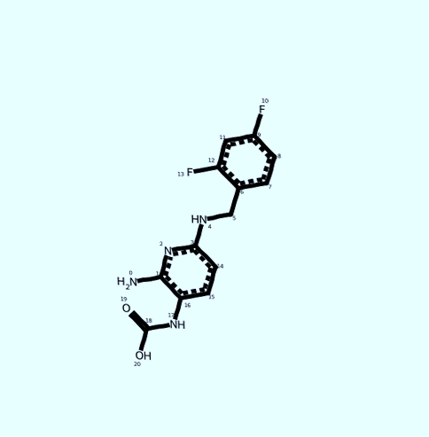 Nc1nc(NCc2ccc(F)cc2F)ccc1NC(=O)O